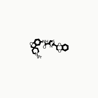 CC(C)N1CCC2(CC1)COc1ccc(NC(=O)c3csc(C4COc5ccccc5O4)n3)cc12